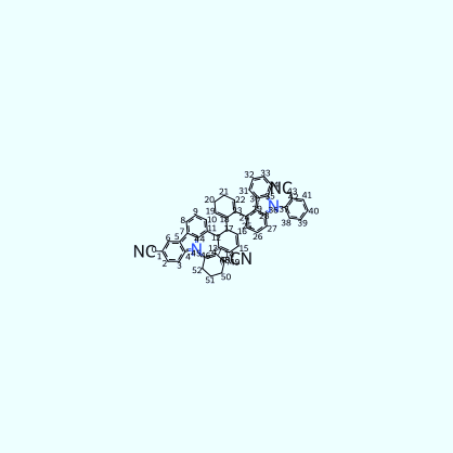 N#Cc1ccc2c(c1)c1cccc(C3C=CC=CC3C3=CCCC=C3c3cccc4c3c3ccccc3n4-c3ccccc3C#N)c1n2C1=C[C@H](C#N)CCC1